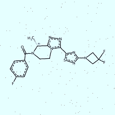 C[C@@H]1c2nnc(-c3nc(N4CC(F)(F)C4)ns3)n2CCN1C(=O)c1ccc(F)cc1